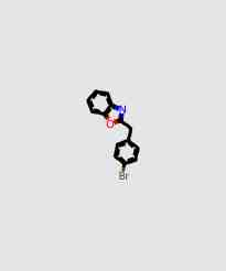 Brc1ccc(Cc2nc3ccccc3o2)cc1